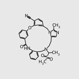 Cc1ncc2n1Cc1ccc(C#N)c(c1)Oc1cccc(c1)C(=O)Nc1ccccc1CN(C(C)S(C)(=O)=O)CC2